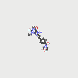 CCn1c(=O)c2[nH]c(C=Cc3ccc(C(=O)N4CCOCC4)cc3)nc2n(CC)c1=O